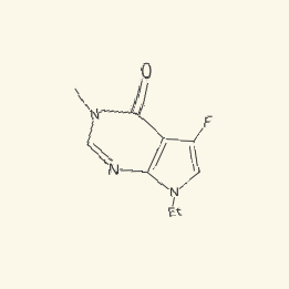 CCn1cc(F)c2c(=O)n(C)cnc21